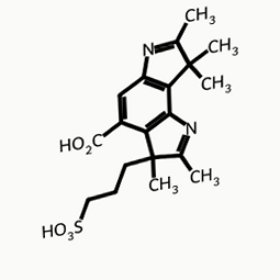 CC1=Nc2cc(C(=O)O)c3c(c2C1(C)C)N=C(C)C3(C)CCCS(=O)(=O)O